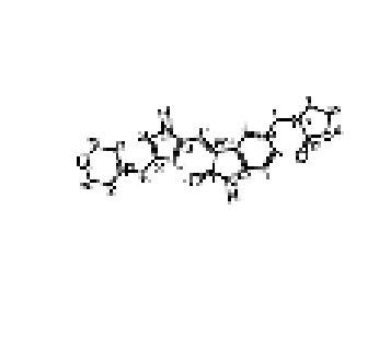 O=C1Nc2ccc(CN3CCSC3=O)cc2C1=Cc1cc(CN2CCOCC2)c[nH]1